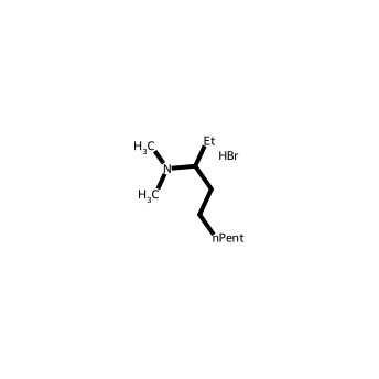 Br.CCCCCCCC(CC)N(C)C